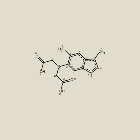 Cc1cc2c(C)n[nH]c2cc1N(CC(=O)O)CC(=O)O